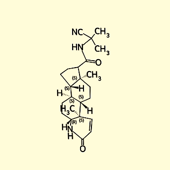 CC(C)(C#N)NC(=O)C1CC[C@H]2[C@@H]3CC[C@H]4NC(=O)C=C[C@]4(C)[C@H]3CC[C@]12C